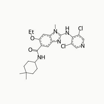 CCOc1cc2c(cc1C(=O)NC1CCC(C)(C)CC1)nc(Nc1c(Cl)cncc1Cl)n2C